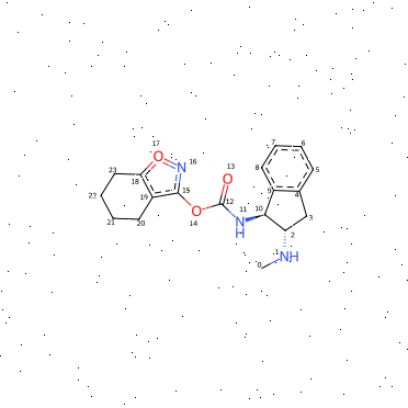 CN[C@H]1Cc2ccccc2[C@@H]1NC(=O)Oc1noc2c1CCCC2